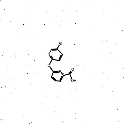 O=C(O)c1cccc(Oc2ccc(Cl)cn2)c1